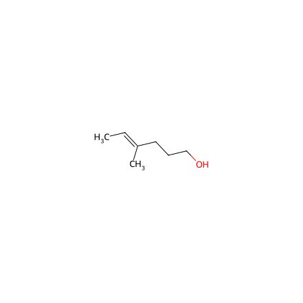 C/C=C(\C)CCCO